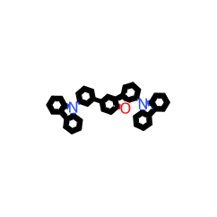 c1cc(-c2ccc3oc4c(-n5c6ccccc6c6ccccc65)cccc4c3c2)cc(-n2c3ccccc3c3ccccc32)c1